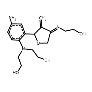 C=C1C(=NCCO)COC1c1cc(N)ccc1N(CCO)CCO